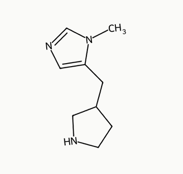 Cn1cncc1CC1CCNC1